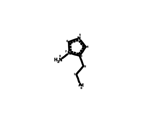 CC(=O)CCc1cncn1N